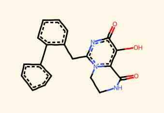 O=C1NCCn2c(Cc3ccccc3-c3ccccc3)nc(=O)c(O)c21